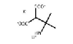 CCCC(C)(C)C(C(=O)[O-])C(=O)[O-].[K+].[Li+]